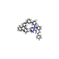 c1ccc(-c2cc3c4c(cccc4c2)N(c2cccc(-c4cccc(-c5ccc6c7ccccc7c7ccccc7c6c5)c4)c2)c2cccnc2-3)cc1